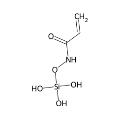 C=CC(=O)NO[Si](O)(O)O